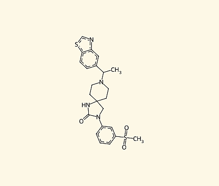 CC(c1ccc2scnc2c1)N1CCC2(CC1)CN(c1cccc(S(C)(=O)=O)c1)C(=O)N2